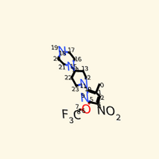 Cc1cc([N+](=O)[O-])c(OCC(F)(F)F)nc1N1CCC(N2CCN(C)CC2)CC1